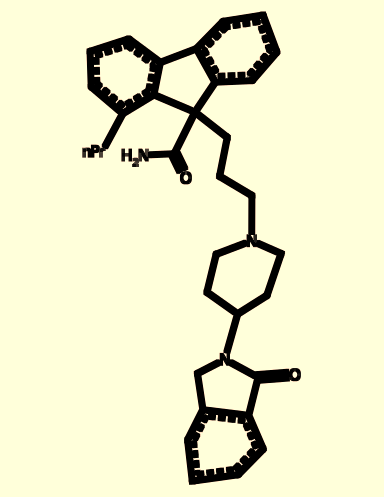 CCCc1cccc2c1C(CCCN1CCC(N3Cc4ccccc4C3=O)CC1)(C(N)=O)c1ccccc1-2